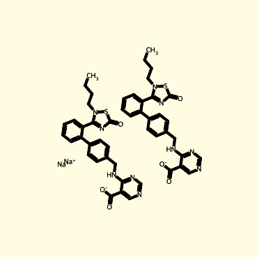 CCCCn1sc(=O)nc1-c1ccccc1-c1ccc(CNc2ncncc2C(=O)[O-])cc1.CCCCn1sc(=O)nc1-c1ccccc1-c1ccc(CNc2ncncc2C(=O)[O-])cc1.[Na+].[Na+]